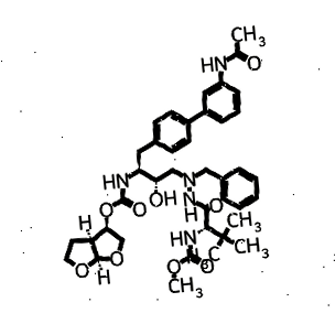 COC(=O)N[C@H](C(=O)NN(Cc1ccccc1)C[C@H](O)[C@H](Cc1ccc(-c2cccc(NC(C)=O)c2)cc1)NC(=O)O[C@H]1CO[C@H]2OCC[C@H]21)C(C)(C)C